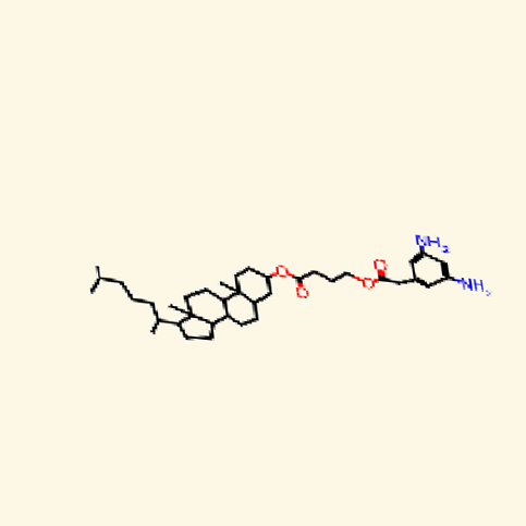 CC(C)CCCC(C)C1CCC2C3CCC4CC(OC(=O)CCCOC(=O)Cc5cc(N)cc(N)c5)CCC4(C)C3CCC12C